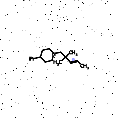 C/C=C/C(C)(C)CN1CCC(C(C)C)CC1